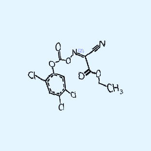 CCOC(=O)/C(C#N)=N\OC(=O)Oc1cc(Cl)c(Cl)cc1Cl